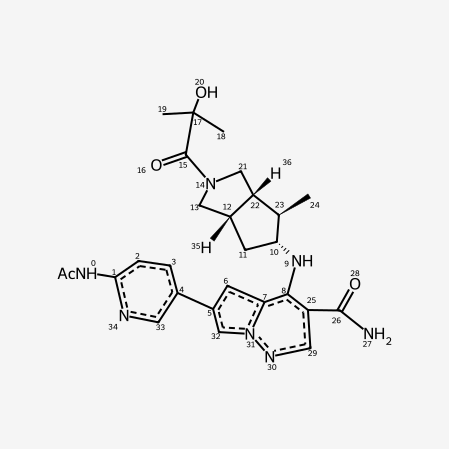 CC(=O)Nc1ccc(-c2cc3c(N[C@@H]4C[C@@H]5CN(C(=O)C(C)(C)O)C[C@@H]5[C@H]4C)c(C(N)=O)cnn3c2)cn1